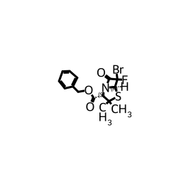 CC1(C)S[C@H]2N(C(=O)C2(F)Br)[C@H]1C(=O)OCc1ccccc1